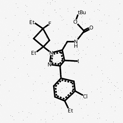 CCc1ccc(-c2nn(C3(CC)CC(F)(CC)C3)c(CNC(=O)OC(C)(C)C)c2I)cc1Cl